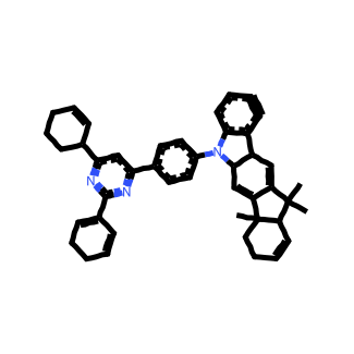 CC1(C)C2=CC3c4c#cccc4N(c4ccc(-c5cc(C6C=CCCC6)nc(C6=CCCC=C6)n5)cc4)C3C=C2C2(C)CCC=CC12